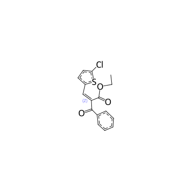 CCOC(=O)/C(=C\c1ccc(Cl)s1)C(=O)c1ccccc1